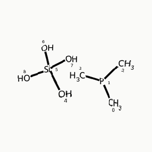 CP(C)C.O[Si](O)(O)O